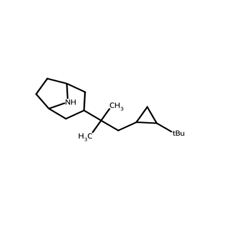 CC(C)(C)C1CC1CC(C)(C)C1CC2CCC(C1)N2